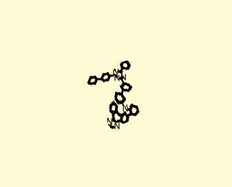 c1ccc(-c2ccc(-c3nc(-c4ccccc4)nc(-c4cccc(-c5cccc(-n6c7ccccc7c7ccc8c9nccnc9c9ccccc9c8c76)c5)c4)n3)cc2)cc1